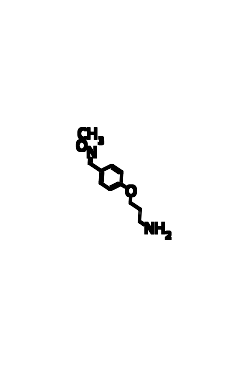 CON=Cc1ccc(OCCCN)cc1